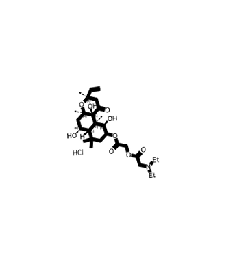 C=C[C@@]1(C)CC(=O)[C@]2(O)[C@@]3(C)[C@@H](O)C(OC(=O)COC(=O)CN(CC)CC)CC(C)(C)[C@@H]3[C@H](O)C[C@@]2(C)O1.Cl